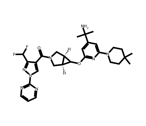 CC1(C)CCN(c2cc(C(C)(C)N)cc(OC3[C@H]4CN(C(=O)c5cn(-c6ncccn6)nc5C(F)F)C[C@@H]34)n2)CC1